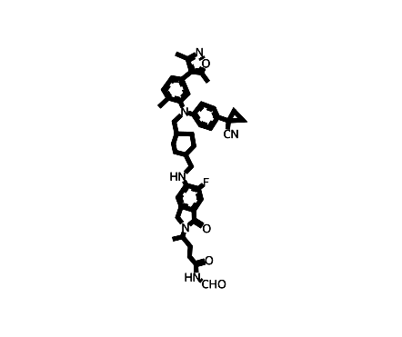 Cc1ccc(-c2c(C)noc2C)cc1N(CC1CCC(CNc2cc3c(cc2F)C(=O)N(C(C)CCC(=O)NC=O)C3)CC1)c1ccc(C2(C#N)CC2)cc1